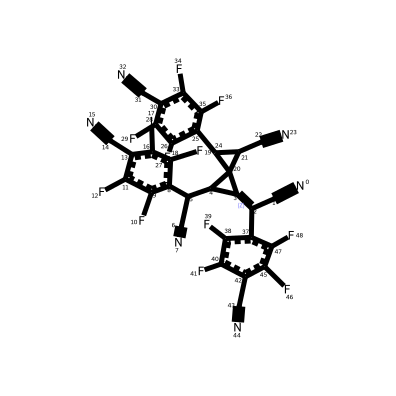 N#C/C(=C1/C(C(C#N)c2c(F)c(F)c(C#N)c(I)c2F)C12C(C#N)C2c1c(F)c(F)c(C#N)c(F)c1F)c1c(F)c(F)c(C#N)c(F)c1F